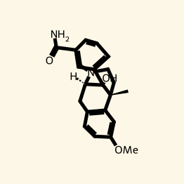 COc1ccc2c(c1)[C@@]1(C)CCN(C)[C@H](C2)[C@]1(O)c1cccc(C(N)=O)c1